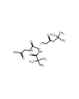 CC(C)(C)OC(=O)CC[C@H](NC(=O)C(C)(C)N)C(=O)NCC(=O)O